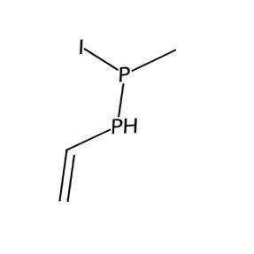 C=CPP(C)I